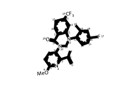 C=C(C)c1nc(OC)ccc1N1CN(c2ccc(F)cc2C)c2cc(C(F)(F)F)ccc2C1=O